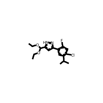 CCOC(OCC)c1cc(-c2cc(C(C)C)c(Cl)cc2F)n[nH]1